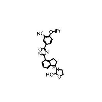 CC(C)Oc1ccc(-c2nc(-c3cccc4c3CC[C@H]4N3CCOC3O)no2)cc1C#N